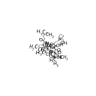 CNC(=O)[C@@H](NC(=O)[C@H]([C@H](O)[C@H](C)CCN1CCCCC1CO)N(C)C(=O)[C@H](C(C)C)N(C)C(=O)[C@H](CC(C)C)NC(=O)CCC(C)C)[C@@H](C)O